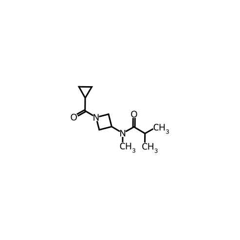 CC(C)C(=O)N(C)C1CN(C(=O)C2CC2)C1